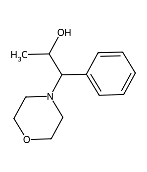 CC(O)C(c1ccccc1)N1CCOCC1